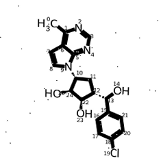 Cc1ncnc2c1ccn2[C@@H]1C[C@H](C(O)c2ccc(Cl)cc2)[C@@H](O)[C@H]1O